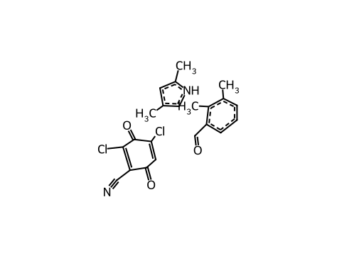 Cc1c[nH]c(C)c1.Cc1cccc(C=O)c1C.N#CC1=C(Cl)C(=O)C(Cl)=CC1=O